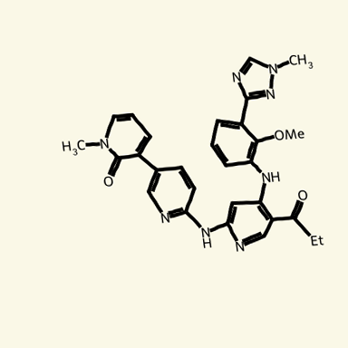 CCC(=O)c1cnc(Nc2ccc(-c3cccn(C)c3=O)cn2)cc1Nc1cccc(-c2ncn(C)n2)c1OC